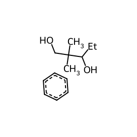 CCC(O)C(C)(C)CO.c1ccccc1